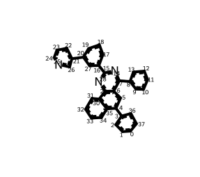 c1ccc(-c2cc3c(-c4ccccc4)nc(-c4cccc(-c5cccnc5)c4)nc3c3ccccc23)cc1